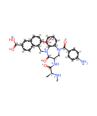 CN[C@@H](C)C(=O)NC1CN(C(=O)c2ccc(N)cc2)c2ccccc2N(Cc2c(OC)ccc3cc(C(=O)O)ccc23)C1=O